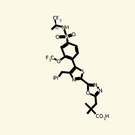 CC(C)Cc1nc(-c2nnc(CC(C)(C)C(=O)O)o2)sc1-c1ccc(S(=O)(=O)N[C@@H](C)C(F)(F)F)cc1OC(F)(F)F